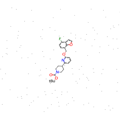 CC(C)(C)OC(=O)N1CCC(c2cccc(OCc3ccc(F)c4ccoc34)n2)CC1